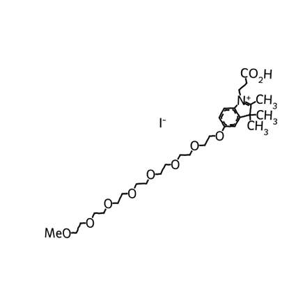 COCCOCCOCCOCCOCCOCCOCCOc1ccc2c(c1)C(C)(C)C(C)=[N+]2CCC(=O)O.[I-]